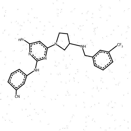 CCCc1cc(N2CCC(NCc3cccc(C(F)(F)F)c3)C2)nc(Nc2cccc(C#N)c2)n1